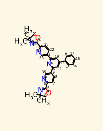 CC1(C)COC(c2ccc(-c3cc(-c4ccccc4)cc(-c4ccc(C5=NC(C)(C)CO5)nc4)n3)cn2)=N1